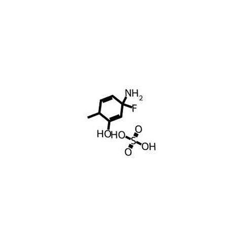 CC1C=CC(N)(F)C=C1O.O=S(=O)(O)O